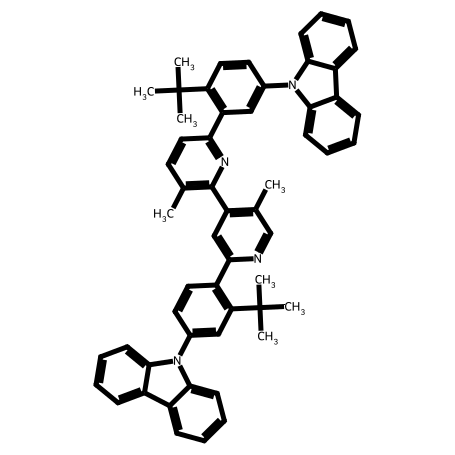 Cc1cnc(-c2ccc(-n3c4ccccc4c4ccccc43)cc2C(C)(C)C)cc1-c1nc(-c2cc(-n3c4ccccc4c4ccccc43)ccc2C(C)(C)C)ccc1C